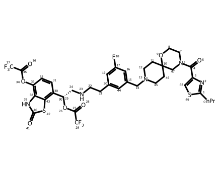 CCCc1nc(C(=O)N2CCOC3(CCN(Cc4cc(F)cc(CCNC[C@H](OC(=O)C(F)(F)F)c5ccc(OC(=O)C(F)(F)F)c6[nH]c(=O)sc56)c4)CC3)C2)cs1